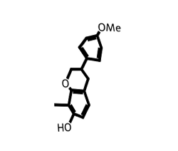 COc1ccc(C2COc3c(ccc(O)c3C)C2)cc1